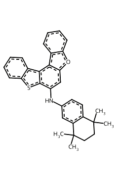 CC1(C)CCC(C)(C)c2cc(Nc3cc4oc5ccccc5c4c4c3sc3ccccc34)ccc21